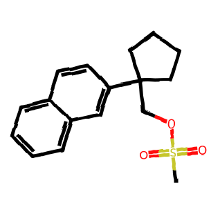 CS(=O)(=O)OCC1(c2ccc3ccccc3c2)CCCC1